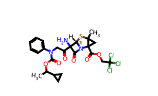 CC(OC(=O)N(CC(=O)C1(N)C(=O)N2[C@H]1SC1(C)CC21C(=O)OCC(Cl)(Cl)Cl)c1ccccc1)C1CC1